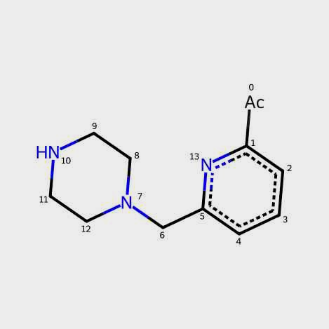 CC(=O)c1cccc(CN2CCNCC2)n1